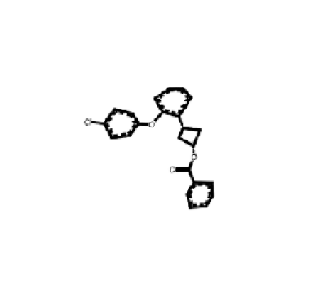 O=C(O[C@H]1C[C@H](c2ccccc2Oc2ccc(Cl)cc2)C1)c1ccccc1